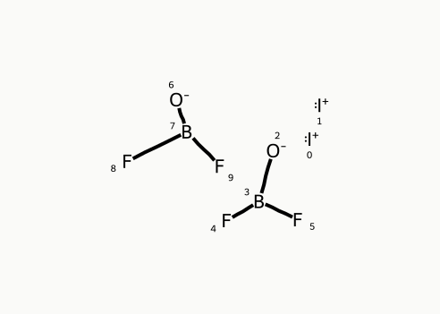 [I+].[I+].[O-]B(F)F.[O-]B(F)F